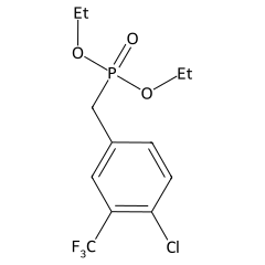 CCOP(=O)(Cc1ccc(Cl)c(C(F)(F)F)c1)OCC